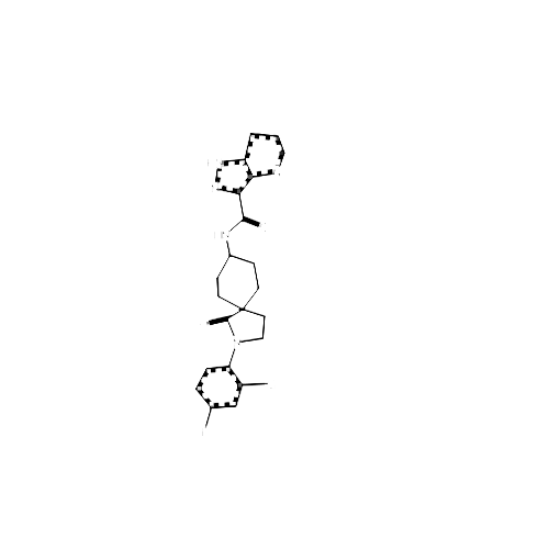 O=C(NC1CCC2(CC1)CCN(c1ccc(F)cc1Cl)C2=O)c1n[nH]c2cccnc12